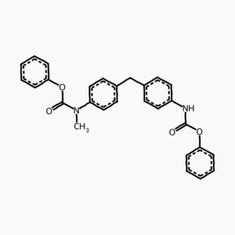 CN(C(=O)Oc1ccccc1)c1ccc(Cc2ccc(NC(=O)Oc3ccccc3)cc2)cc1